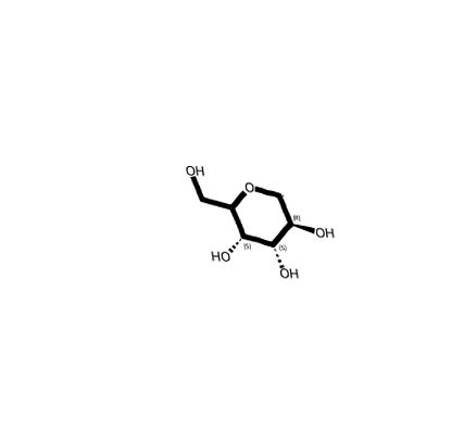 OCC1O[CH][C@@H](O)[C@H](O)[C@@H]1O